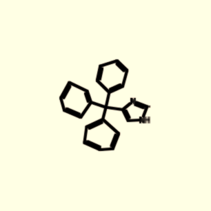 [c]1nc(C(c2ccccc2)(c2ccccc2)c2ccccc2)c[nH]1